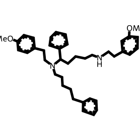 COc1ccc(CCN(CCCCCc2ccccc2)C(CCCCNCCc2cccc(OC)c2)c2ccccc2)cc1